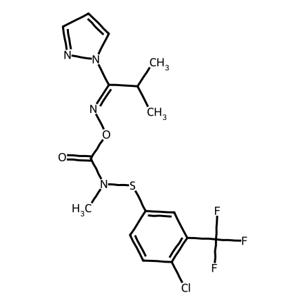 CC(C)C(=NOC(=O)N(C)Sc1ccc(Cl)c(C(F)(F)F)c1)n1cccn1